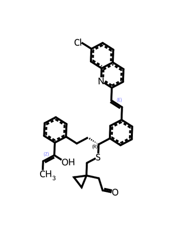 C/C=C(\O)c1ccccc1CC[C@@H](SCC1(CC=O)CC1)c1cccc(/C=C/c2ccc3ccc(Cl)cc3n2)c1